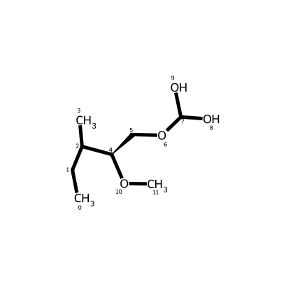 CCC(C)[C@@H](COC(O)O)OC